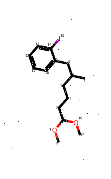 COC(CCC[C](C)Cc1ccccc1I)OC